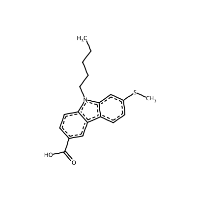 CCCCCn1c2ccc(C(=O)O)cc2c2ccc(SC)cc21